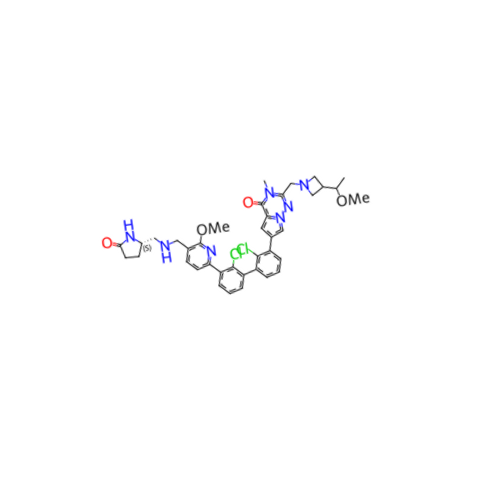 COc1nc(-c2cccc(-c3cccc(-c4cc5c(=O)n(C)c(CN6CC(C(C)OC)C6)nn5c4)c3Cl)c2Cl)ccc1CNC[C@@H]1CCC(=O)N1